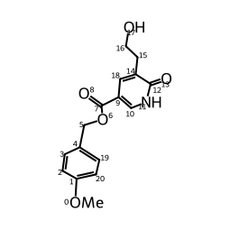 COc1ccc(COC(=O)c2c[nH]c(=O)c(CCO)c2)cc1